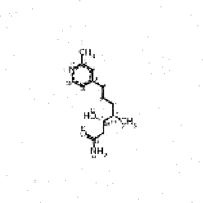 Cc1cc(CCC[C@@H](C)[C@@H](O)CC(N)=O)ccn1